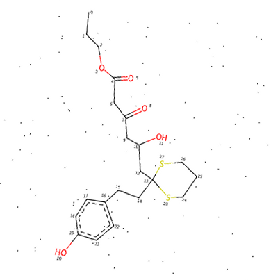 CCCOC(=O)CC(=O)CC(O)CC1(CCc2ccc(O)cc2)SCCCS1